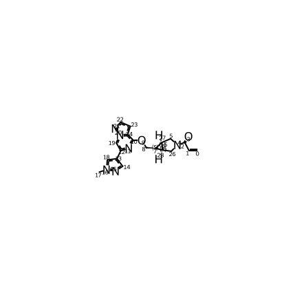 C=CC(=O)N1C[C@@H]2[C@H](COc3nc(-c4cnn(C)c4)cn4nccc34)[C@@H]2C1